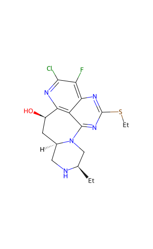 CCSc1nc2c3c(nc(Cl)c(F)c3n1)[C@H](O)C[C@@H]1CN[C@H](CC)CN21